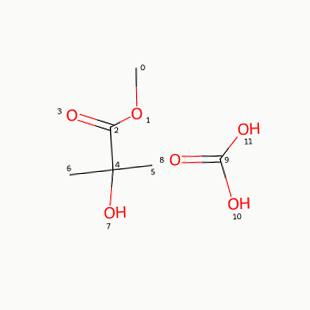 COC(=O)C(C)(C)O.O=C(O)O